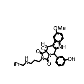 COc1ccc2[nH]c3c(c2c1)CC1(C)C(=O)N(CCCNCC(C)C)C(=O)N1C3c1cccc(O)c1